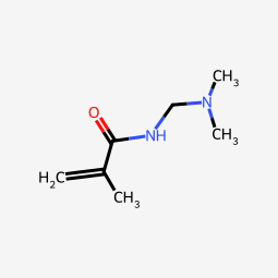 C=C(C)C(=O)NCN(C)C